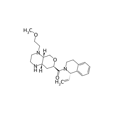 C=C[C@H]1c2ccccc2CCN1C(=O)[C@H]1C[C@@H]2NCCN(CCOC)[C@@H]2CO1